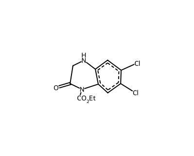 CCOC(=O)N1C(=O)CNc2cc(Cl)c(Cl)cc21